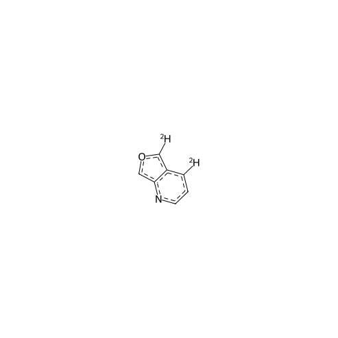 [2H]c1ccnc2coc([2H])c12